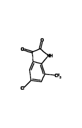 O=C1Nc2c(cc(Cl)cc2C(F)(F)F)C1=O